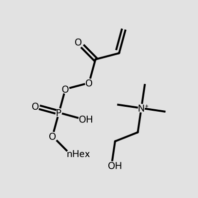 C=CC(=O)OOP(=O)(O)OCCCCCC.C[N+](C)(C)CCO